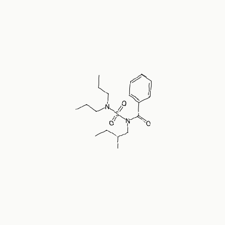 CCCN(CCC)S(=O)(=O)N(CC(C)CC)C(=O)c1ccccc1